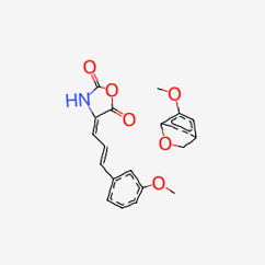 COc1cc2ccc1OC2.COc1cccc(C=CC=C2NC(=O)OC2=O)c1